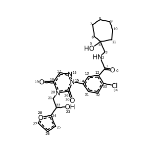 O=C(NCC1(O)CCCCCC1)c1cc(-n2ncc(=O)n(CC(O)c3ccco3)c2=O)ccc1Cl